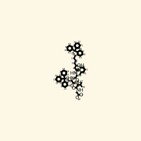 COC(=O)CNC(=O)[C@H](NC(=O)[C@@H](CSC(c1ccccc1)(c1ccccc1)c1ccccc1)NC(=O)[C@@H](Cc1ccccn1)NC(=O)C[C@H](O)/C=C/CCSC(c1ccccc1)(c1ccccc1)c1ccccc1)C(C)C